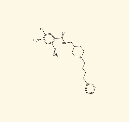 COc1cc(N)c(Cl)cc1C(=O)NCC1CCN(CCCSc2ccccc2)CC1